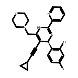 Fc1ccc([C@@H]2N=C(c3ccccn3)NC(CN3CCOCC3)=C2C#CC2CC2)c(Cl)c1